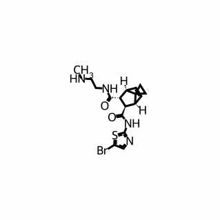 CNCCNC(=O)[C@H]1[C@H](C(=O)Nc2ncc(Br)s2)[C@@H]2C=C[C@H]1C21CC1